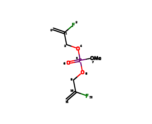 C=C(F)COP(=O)(OC)OCC(=C)F